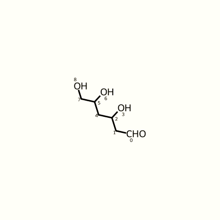 O=CCC(O)CC(O)CO